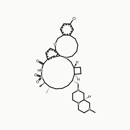 C[C@@H]1[C@@H](C)CCC[C@@H](CN2CCN3CCN(C)C[C@@H]3C2)[C@@H]2CC[C@H]2CN2CCCCc3cc(Cl)ccc3COc3ccc(cc32)C(=O)NS1(=O)=O